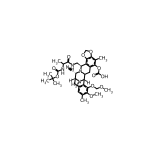 COCOc1c(OC)c(C)cc2c1[C@H]1C3Cc4c(OC(=O)O)c(C)c5c(c4[C@H](CNC(=O)C(C)NC(=O)OC(C)(C)C)N3[C@@H](C#N)[C@@H](C2)N1C)OCO5